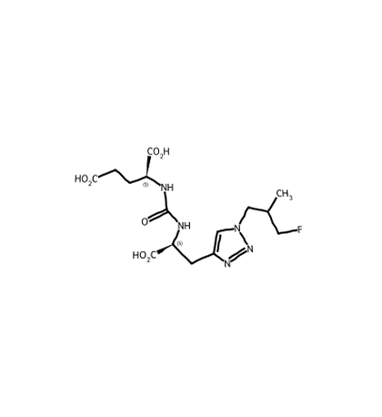 CC(CF)Cn1cc(C[C@H](NC(=O)N[C@@H](CCC(=O)O)C(=O)O)C(=O)O)nn1